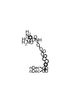 CCCCCCCCCCCCOP(=O)(OCCCCCCCCCCCC)Oc1ccc2c(c1)CCC1C2CCC2(C)C(OC(=O)COCCOCCNC(=O)Oc3ccc(N)c(O)c3C(N)=O)CCC12